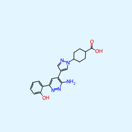 Nc1nnc(-c2ccccc2O)cc1-c1cnn(C2CCC(C(=O)O)CC2)c1